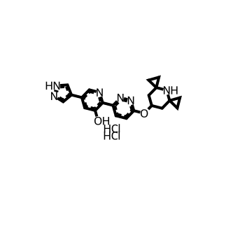 Cl.Cl.Oc1cc(-c2cn[nH]c2)cnc1-c1ccc(OC2CC3(CC3)NC3(CC3)C2)nn1